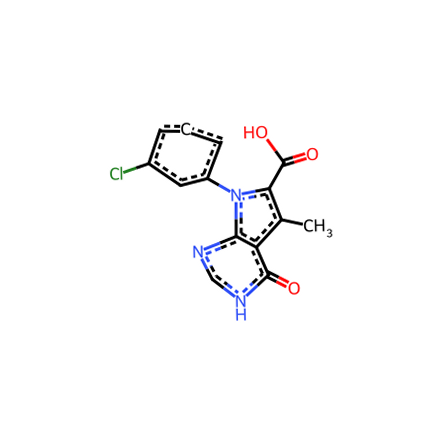 Cc1c(C(=O)O)n(-c2cccc(Cl)c2)c2nc[nH]c(=O)c12